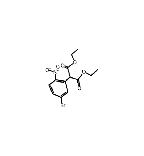 CCOC(=O)C(C(=O)OCC)c1cc(Br)ccc1[N+](=O)[O-]